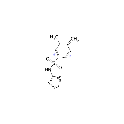 C=C/C=C\C(=C/CC)S(=O)(=O)Nc1nccs1